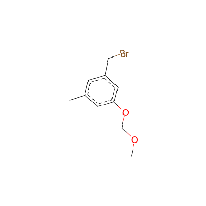 COCOc1cc(C)cc(CBr)c1